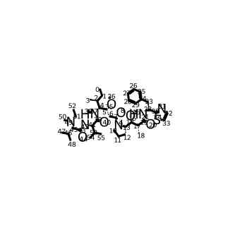 CC[C@H](C)[C@@H]([C@@H](CC(=O)N1CCC[C@H]1[C@H](OC)[C@@H](C)C(=O)N[C@@H](Cc1ccccc1)c1nccs1)OC)N(C)C(=O)[C@@H](NC(=O)[C@H](C(C)C)N(C)CC)C(C)C